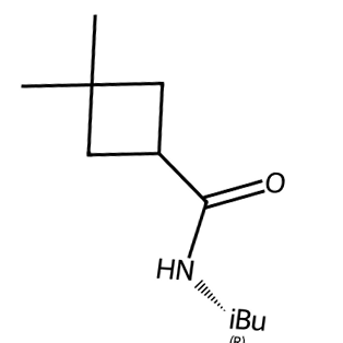 CC[C@@H](C)NC(=O)C1CC(C)(C)C1